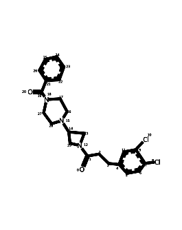 O=C(CCc1ccc(Cl)c(Cl)c1)N1CC(N2CCN(C(=O)c3ccccc3)CC2)C1